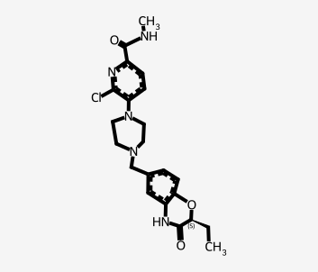 CC[C@@H]1Oc2ccc(CN3CCN(c4ccc(C(=O)NC)nc4Cl)CC3)cc2NC1=O